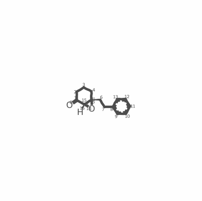 O=C1CCC[C@]2(CCc3ccccc3)O[C@H]12